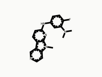 CN(C)c1cc(Nc2ccc3c4cnccc4n(C)c3n2)ccc1F